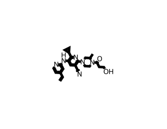 C=Cc1ccnc(Nc2cc(C#N)c(N3CCN(C(=O)CCO)C(C)C3)nc2C2CC2)c1